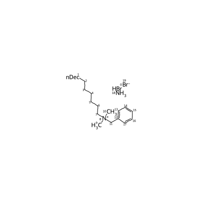 Br.CCCCCCCCCCCCCCCC[N+](C)(C)Cc1ccccc1.N.[Br-]